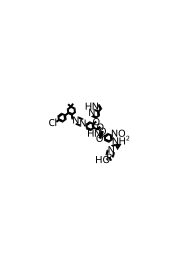 CC1(C)CCC(CN2CCN(c3ccc(C(=O)NS(=O)(=O)c4ccc(NC5(CN6CC[P](C)(O)CC6)CC5)c([N+](=O)[O-])c4)c(Oc4cnc5[nH]ccc5c4)c3)CC2)=C(c2ccc(Cl)cc2)C1